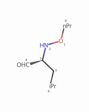 CCCON[C@H](C=O)CC(C)C